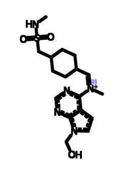 CNS(=O)(=O)CC1CCC(/C=[N+](/C)c2ncnc3c2ccn3CO)CC1